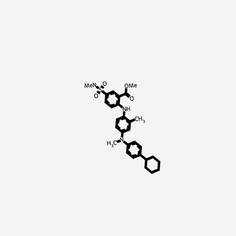 CNS(=O)(=O)c1ccc(Nc2ccc(N(C)c3ccc(C4CCCCC4)cc3)cc2C)c(C(=O)OC)c1